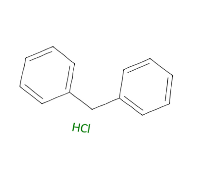 Cl.c1ccc(Cc2ccccc2)cc1